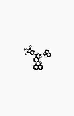 O=C1NC(=O)C2CN(c3nc(OCC45CCCN4CCC5)nc4c3CCN(c3cccc5cccc(Br)c35)C4)CC12